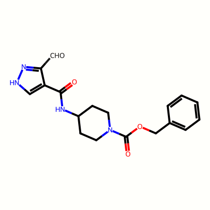 O=Cc1n[nH]cc1C(=O)NC1CCN(C(=O)OCc2ccccc2)CC1